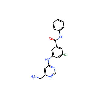 Cl.NCc1cc(Nc2cccc(C(=O)Nc3ccccc3)c2)ncn1